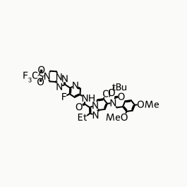 CCc1nc2cc(N(Cc3ccc(OC)cc3OC)C(=O)OC(C)(C)C)c(Cl)cn2c1C(=O)Nc1cnc(-c2nc3n(n2)CCN(S(=O)(=O)C(F)(F)F)C3)c(F)c1